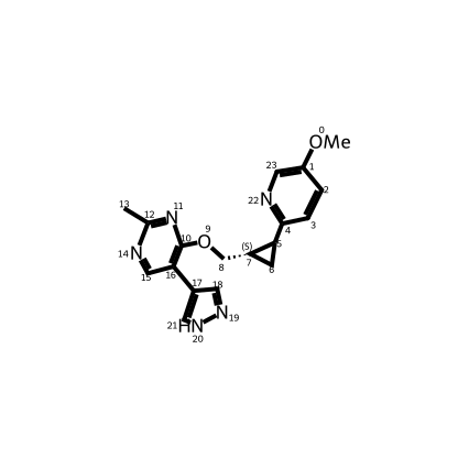 COc1ccc(C2C[C@@H]2COc2nc(C)ncc2-c2cn[nH]c2)nc1